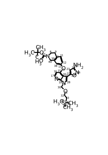 CC(C)(C)OC(=O)N1CCc2ccc(Oc3ccnc4c3c(-c3cc(N)no3)cn4COCC[Si](C)(C)C)cc2C1